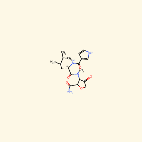 CC(C)C(C)C[C@H](NC(=O)c1cc[nH]c1)C(=O)N(C)C1C(=O)COC1C(N)=O